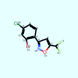 FC(F)c1cc(-c2ccc(Cl)cc2Br)no1